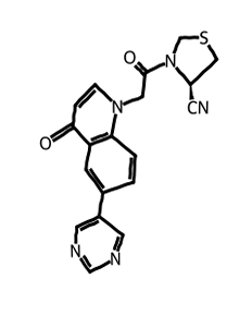 N#C[C@@H]1CSCN1C(=O)Cn1ccc(=O)c2cc(-c3cncnc3)ccc21